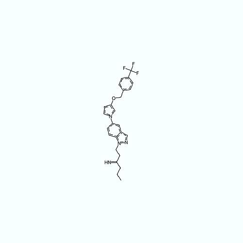 CCCC(=N)CCn1ncc2cc(-n3ccc(OCc4ccc(C(F)(F)F)cc4)c3)ccc21